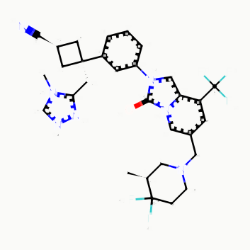 C[C@H]1CN(Cc2cc(C(F)(F)F)c3cn(-c4cccc([C@]5(Cc6nncn6C)C[C@H](C#N)C5)c4)c(=O)n3c2)CCC1(F)F